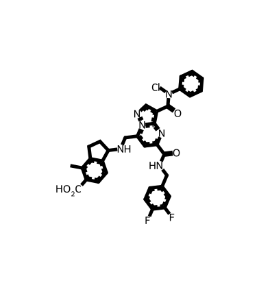 Cc1c(C(=O)O)ccc2c1CCC2NCc1cc(C(=O)NCc2ccc(F)c(F)c2)nc2c(C(=O)N(Cl)c3ccccc3)cnn12